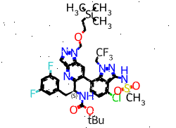 CC(C)(C)OC(=O)N[C@@H](Cc1cc(F)cc(F)c1)c1nc2cnn(COCC[Si](C)(C)C)c2cc1-c1ccc(Cl)c2c(NS(C)(=O)=O)nn(CC(F)(F)F)c12